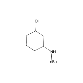 CCCCNC1CCCC(O)C1